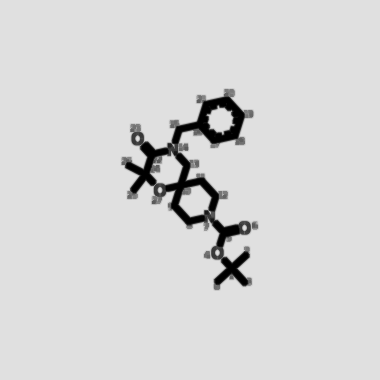 CC(C)(C)OC(=O)N1CCC2(CC1)CN(Cc1ccccc1)C(=O)C(C)(C)O2